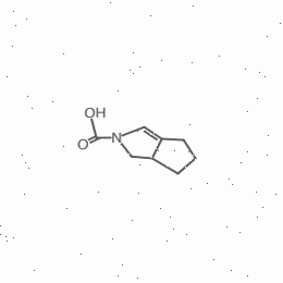 O=C(O)N1C=C2CCCC2C1